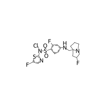 O=S(=O)(c1ccc(NCC23CCCN2CC(F)C3)cc1F)N(Cl)c1ncc(F)s1